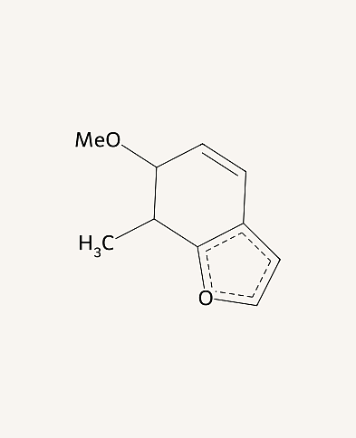 COC1C=Cc2ccoc2C1C